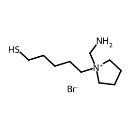 NC[N+]1(CCCCCS)CCCC1.[Br-]